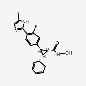 Cc1cnc(-c2ccc([C@H]3[C@H](C(=O)NO)[C@@H]3C3C=CC=CC3)cc2F)[nH]1